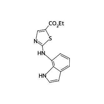 CCOC(=O)c1cnc(Nc2cccc3cc[nH]c23)s1